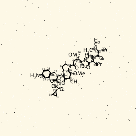 CC[C@H](C)[C@@H]([C@@H](CC(=O)N1CCC[C@H]1[C@H](OC)[C@@H](C)C(=O)N[C@@H](Cc1ccc(N)cc1)C(=O)NS(=O)(=O)C1CC1)OC)N(C)C(=O)[C@@H](NC(=O)[C@H](C(C)C)N(C)C)C(C)C